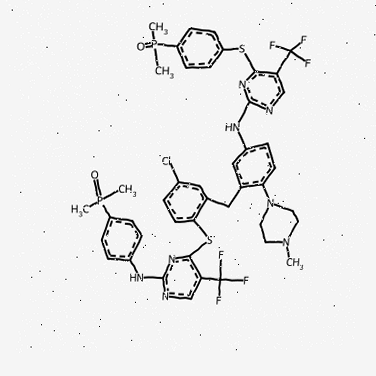 CN1CCN(c2ccc(Nc3ncc(C(F)(F)F)c(Sc4ccc(P(C)(C)=O)cc4)n3)cc2Cc2cc(Cl)ccc2Sc2nc(Nc3ccc(P(C)(C)=O)cc3)ncc2C(F)(F)F)CC1